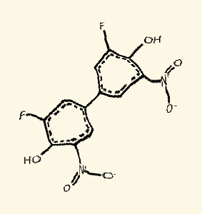 O=[N+]([O-])c1cc(-c2cc(F)c(O)c([N+](=O)[O-])c2)cc(F)c1O